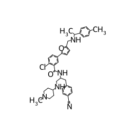 Cc1ccc(C(C)NCc2ccc(-c3ccc(Cl)c(C(=O)NC(CNC4CCN(C)CC4)Cc4ccc(C#N)cc4)c3)o2)cc1